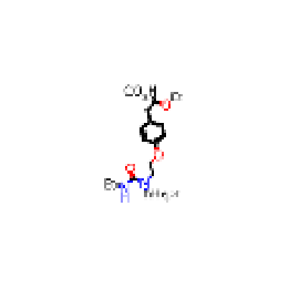 CCCCCCCN(CCOc1ccc(CC(OCC)C(=O)O)cc1)C(=O)NCC